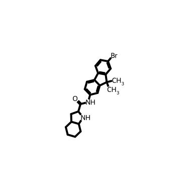 CC1(C)c2cc(Br)ccc2-c2ccc(NC(=O)C3CC4CCCCC4N3)cc21